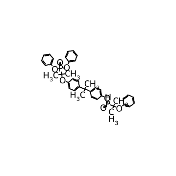 CC(C)(c1ccc(O[PH](=O)C(C)(C)Oc2ccccc2)cc1)c1ccc(OC(C)(C)P(=O)(Oc2ccccc2)Oc2ccccc2)cc1